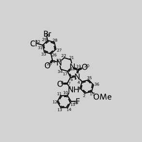 COc1ccc(-n2c(C(=O)Nc3ccccc3F)c3n(c2=O)CCN(C(=O)c2ccc(Br)c(Cl)c2)C3)cc1